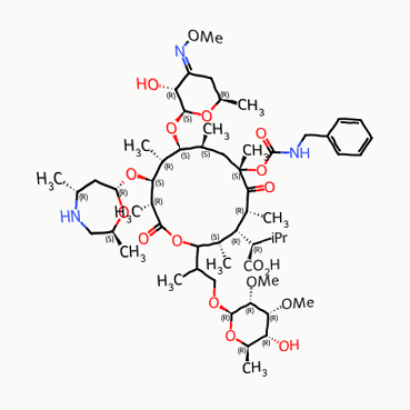 CON=C1C[C@@H](C)O[C@@H](O[C@@H]2[C@@H](C)[C@H](O[C@H]3C[C@@H](C)NC[C@H](C)O3)[C@@H](C)C(=O)OC(C(C)CO[C@@H]3O[C@H](C)[C@@H](O)[C@@H](OC)[C@H]3OC)[C@@H](C)[C@@H]([C@H](C(=O)O)C(C)C)[C@@H](C)C(=O)[C@@](C)(OC(=O)NCc3ccccc3)C[C@@H]2C)[C@@H]1O